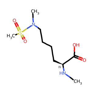 CN[C@@H](CCCCN(C)S(C)(=O)=O)C(=O)O